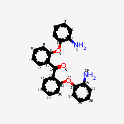 Nc1ccccc1Oc1ccccc1C(=O)c1ccccc1Oc1ccccc1N